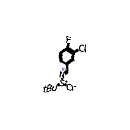 CC(C)(C)[S+]([O-])/N=C/c1ccc(F)c(Cl)c1